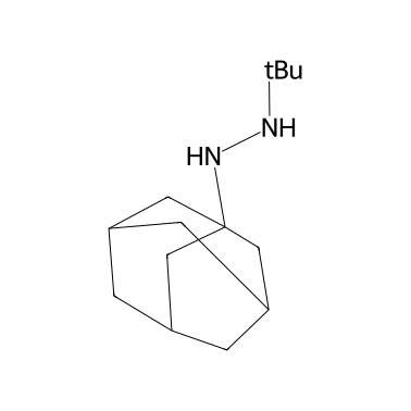 CC(C)(C)NNC12CC3CC(CC(C3)C1)C2